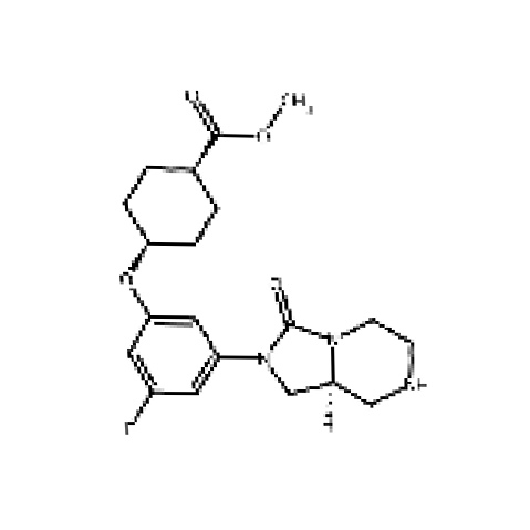 COC(=O)[C@H]1CC[C@@H](Oc2cc(F)cc(N3C[C@@H]4CNCCN4C3=O)c2)CC1